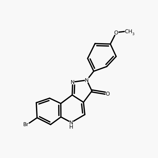 COc1ccc(-n2nc3c4ccc(Br)cc4[nH]cc-3c2=O)cc1